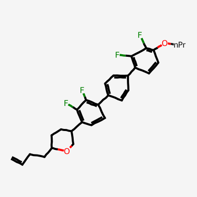 C=CCCC1CCC(c2ccc(-c3ccc(-c4ccc(OCCC)c(F)c4F)cc3)c(F)c2F)CO1